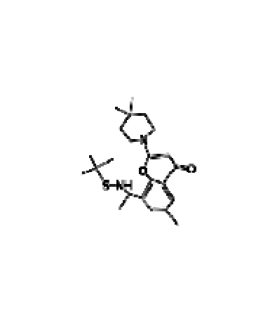 Cc1cc(C(C)NSC(C)(C)C)c2oc(N3CCC(C)(C)CC3)cc(=O)c2c1